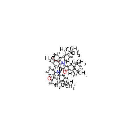 Cc1cc2c3c(c1)N(c1ccc(C(C)(C)C)cc1-c1ccccc1)c1c(oc4cc5c(cc14)C(C)(C)CCC5(C)C)B3N(c1ccc(C(C)(C)C)cc1)c1c-2ccc2oc3ccccc3c12